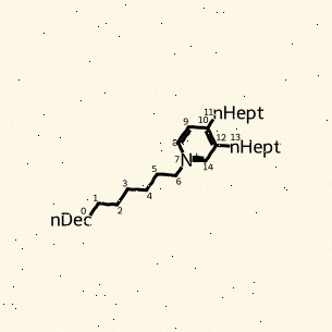 CCCCCCCCCCCCCCCC[n+]1ccc(CCCCCCC)c(CCCCCCC)c1